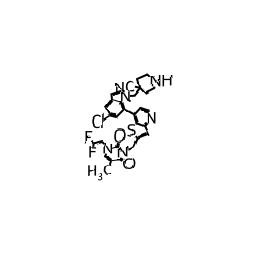 Cc1cn(CC(F)F)c(=O)n(Cc2cc3nccc(-c4cc(Cl)cc5ccn(CC6(C#N)CCNCC6)c45)c3s2)c1=O